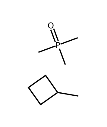 CC1CCC1.CP(C)(C)=O